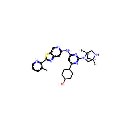 Cc1cccnc1-c1nc2cc(Nc3cc(C4CCC(O)CC4)nc(N4C[C@@H]5C[C@H]4CN5)n3)ncc2s1